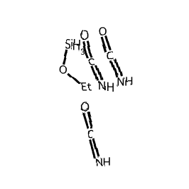 CCO[SiH3].N=C=O.N=C=O.N=C=O